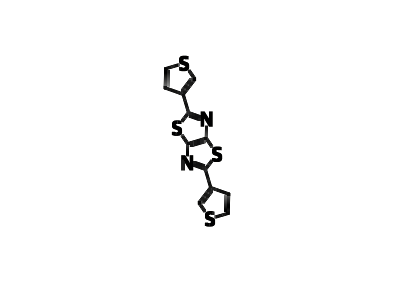 c1cc(-c2nc3sc(-c4ccsc4)nc3s2)cs1